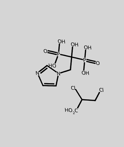 O=C(O)C(Cl)CCl.O=P(O)(O)C(O)(Cn1ccnc1)P(=O)(O)O